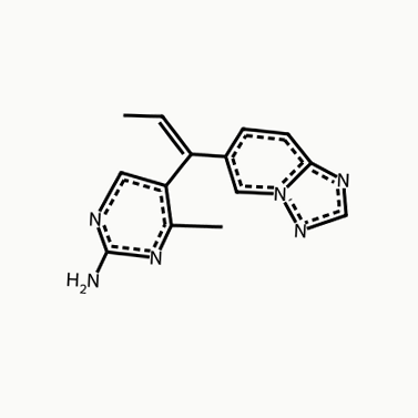 C/C=C(/c1ccc2ncnn2c1)c1cnc(N)nc1C